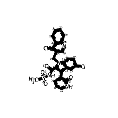 CS(=O)(=O)NC(=O)c1c(-c2ccc[nH]c2=O)c2cc(Cl)ccc2n1Cc1cnc2ccccc2c1Cl